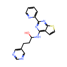 OC(CCc1cncnc1)Nc1nc(-c2ccccn2)nc2sccc12